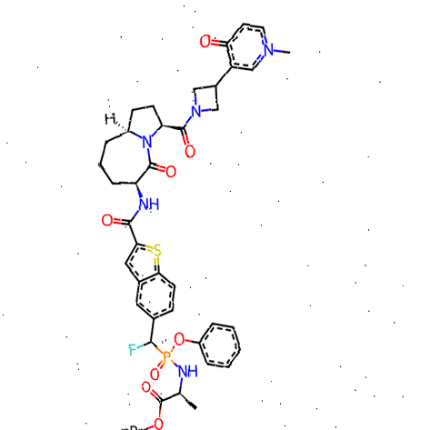 CCCOC(=O)[C@H](C)NP(=O)(Oc1ccccc1)C(F)c1ccc2sc(C(=O)N[C@H]3CCC[C@H]4CC[C@@H](C(=O)N5CC(c6cn(C)ccc6=O)C5)N4C3=O)cc2c1